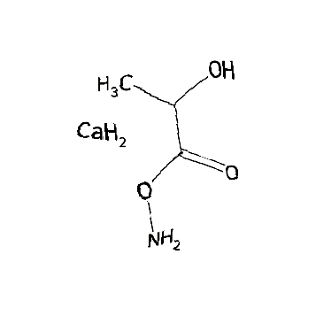 CC(O)C(=O)ON.[CaH2]